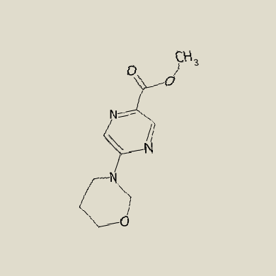 COC(=O)c1cnc(N2CCCOC2)cn1